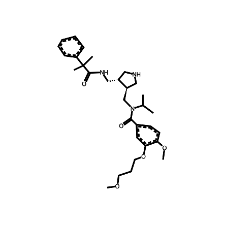 COCCCOc1cc(C(=O)N(C[C@@H]2CNC[C@H]2CNC(=O)C(C)(C)c2ccccc2)C(C)C)ccc1OC